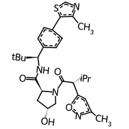 Cc1cc([C@H](C(=O)N2C[C@H](O)C[C@H]2C(=O)N[C@H](c2ccc(-c3scnc3C)cc2)C(C)(C)C)C(C)C)on1